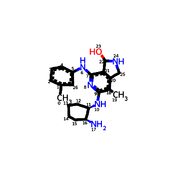 Cc1cccc(Nc2nc(N[C@@H]3CCCC[C@@H]3N)c(C)c3c2C(O)NC3)c1